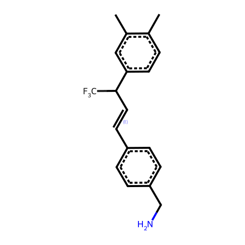 Cc1ccc(C(/C=C/c2ccc(CN)cc2)C(F)(F)F)cc1C